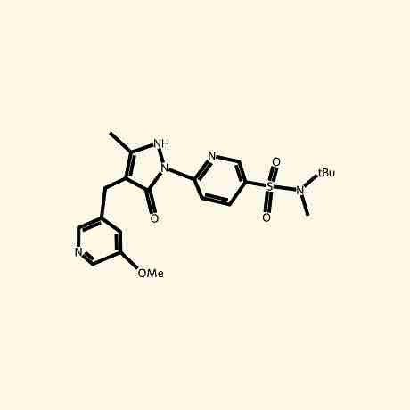 COc1cncc(Cc2c(C)[nH]n(-c3ccc(S(=O)(=O)N(C)C(C)(C)C)cn3)c2=O)c1